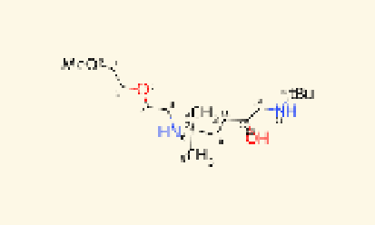 COCCOCCNC(C)(C)CCC(O)CNC(C)(C)C